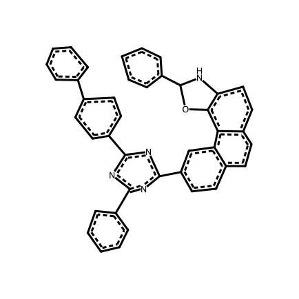 c1ccc(-c2ccc(-c3nc(-c4ccccc4)nc(-c4ccc5ccc6ccc7c(c6c5c4)OC(c4ccccc4)N7)n3)cc2)cc1